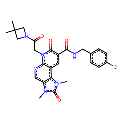 Cn1c(=O)n(C)c2c3cc(C(=O)NCc4ccc(Cl)cc4)c(=O)n(CC(=O)N4CC(C)(C)C4)c3ncc21